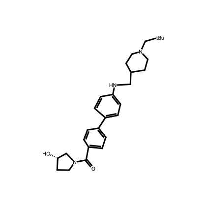 CC(C)(C)CN1CCC(CNc2ccc(-c3ccc(C(=O)N4CC[C@H](O)C4)cc3)cc2)CC1